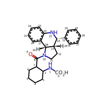 O=C(O)NC1CCCCC1C(=O)N1CC[C@H]2[C@@H](c3ccccc3)Nc3ccccc3[C@H]21